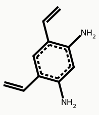 C=Cc1cc(C=C)c(N)cc1N